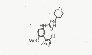 COc1ccc(NC(=O)CNC2CCOCC2)cc1-c1c(Cl)cnn1C